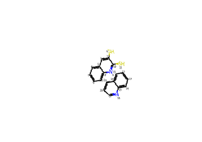 Sc1cc2ccccc2nc1S.c1ccc2ncccc2c1